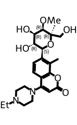 CCN1CCN(c2cc(=O)oc3c(C)c([C@@H]4O[C@](C)(CO)[C@H](OC)[C@H](O)[C@H]4O)ccc23)CC1